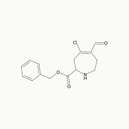 O=CC1=C(Cl)CC(C(=O)OCc2ccccc2)NCC1